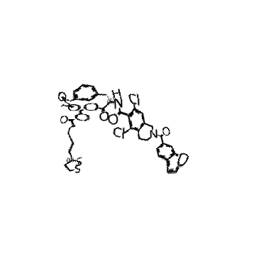 CS(=O)(=O)c1cccc(C[C@H](NC(=O)c2c(Cl)cc3c(c2Cl)CCN(C(=O)c2ccc4ccoc4c2)C3)C(=O)OCOC(=O)CCCC[C@@H]2CCSS2)c1